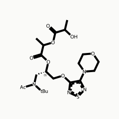 CC(=O)N(C[C@@H](COc1nsnc1N1CCOCC1)OC(=O)C(C)OC(=O)C(C)O)C(C)(C)C